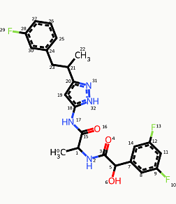 CC(NC(=O)C(O)c1cc(F)cc(F)c1)C(=O)Nc1cc(C(C)Cc2cccc(F)c2)n[nH]1